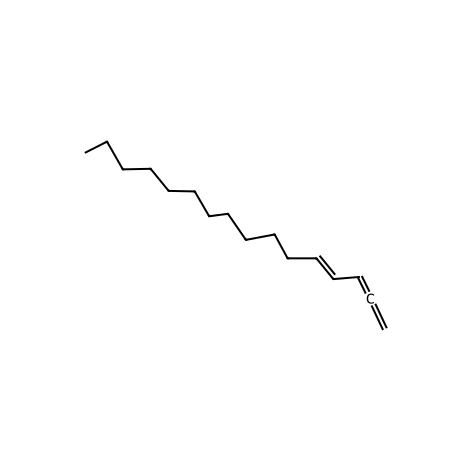 C=C=CC=CCCCCCCCCCCC